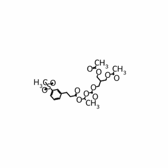 CC(=O)OCC(COC(C)=O)COC(=O)OC(C)OC(=O)CCc1cccc(S(C)(=O)=O)c1